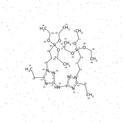 CCO[Si](CCCn1nc(Nc2nc(CC)n(CCC[Si](OCC)(OCC)OCC)n2)nc1CC)(OCC)OCC